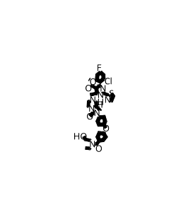 CCN(CCO)C(=O)c1ccc(Oc2ccc(N3C[C@@H]4CN(CC5=C(C(=O)OC)[C@H](c6ccc(F)cc6Cl)N=C(c6nccs6)N5)CCN4C3=O)cc2)cc1